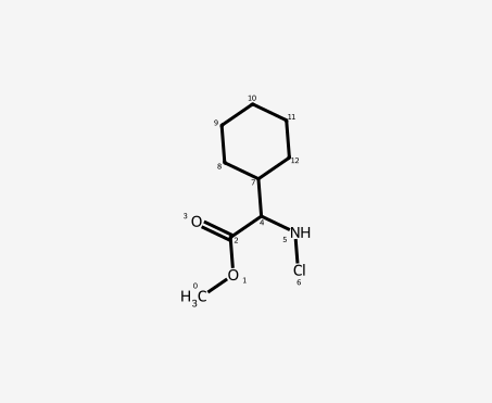 COC(=O)C(NCl)C1CCCCC1